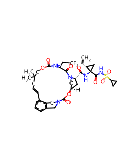 C=C[C@@H]1C[C@]1(NC(=O)[C@@H]1C[C@@H]2CN1C(=O)[C@H](CC(F)(F)F)NC(=O)OCC(C)(C)C/C=C/c1cccc3c1CN(C3)C(=O)O2)C(=O)NS(=O)(=O)C1CC1